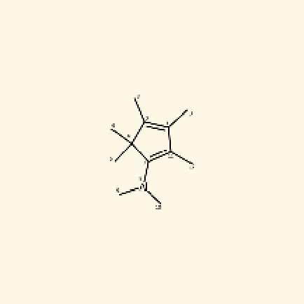 CC1=C(C)C(C)(C)[C]([Al]([CH3])[CH3])=C1C